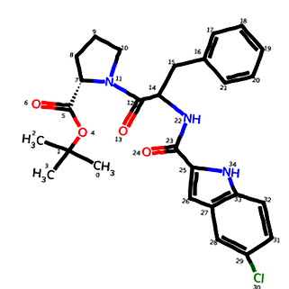 CC(C)(C)OC(=O)[C@@H]1CCCN1C(=O)C(Cc1ccccc1)NC(=O)c1cc2cc(Cl)ccc2[nH]1